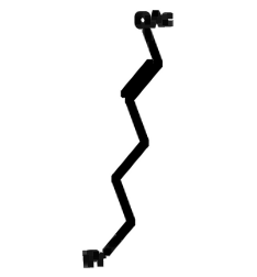 CC(=O)OC=CCCCC(C)C